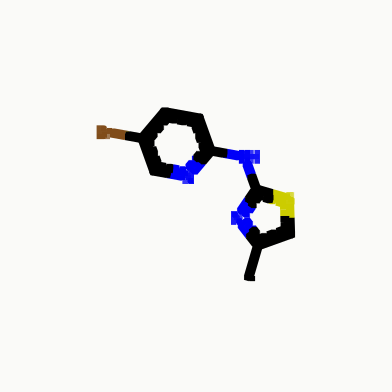 [CH2]c1csc(Nc2ccc(Br)cn2)n1